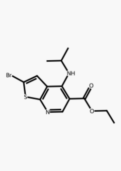 CCOC(=O)c1cnc2sc(Br)cc2c1NC(C)C